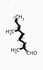 C=C/C=C(C)/C=C/C=C(\C)C=O